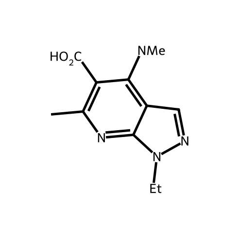 CCn1ncc2c(NC)c(C(=O)O)c(C)nc21